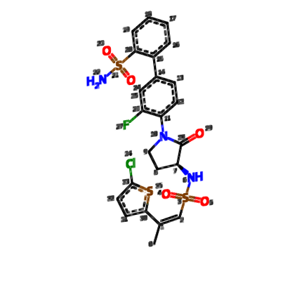 CC(=CS(=O)(=O)N[C@H]1CCN(c2ccc(-c3ccccc3S(N)(=O)=O)cc2F)C1=O)c1ccc(Cl)s1